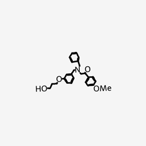 COc1ccc(C(=O)CN(Cc2ccccc2)Cc2cccc(OCCCO)c2)cc1